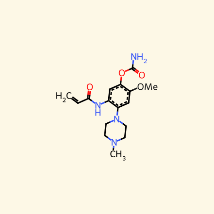 C=CC(=O)Nc1cc(OC(N)=O)c(OC)cc1N1CCN(C)CC1